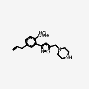 C=CCc1ccc(OC)c(-c2cc(CN3CCNCC3)on2)c1.Cl